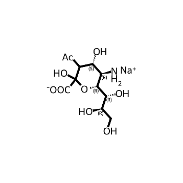 CC(=O)C1[C@H](O)[C@@H](N)[C@H]([C@H](O)[C@H](O)CO)OC1(O)C(=O)[O-].[Na+]